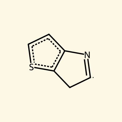 [C]1=Nc2ccsc2C1